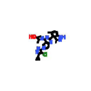 Cc1ccc2[nH]nc(C)c2c1-c1nc2c(c(N3CC(O)[C@@H]3C)n1)CN(c1c(Cl)c(C3CC3)nn1C)CC2